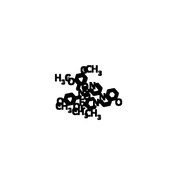 COc1ccc(CN(Cc2ccc(OC)cc2OC)S(=O)(=O)c2cc(N3C4=C(C=CC3N3CCC(F)(F)C(C)C3)C(=O)CCC4)ccn2)c(OC)c1